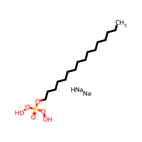 CCCCCCCCCCCCCCCCOP(=O)(OO)OO.[NaH].[Na]